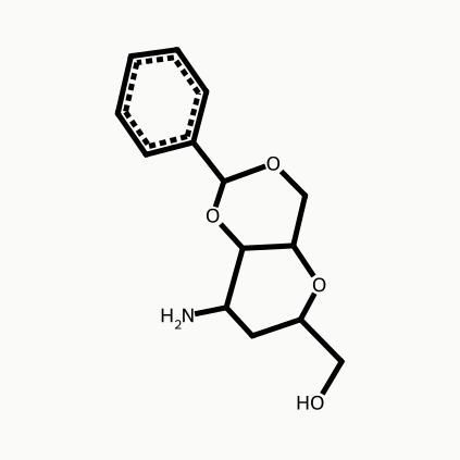 NC1CC(CO)OC2COC(c3ccccc3)OC12